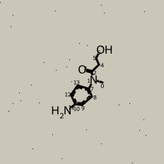 CN(C(=O)CCO)c1ccc(N)cc1